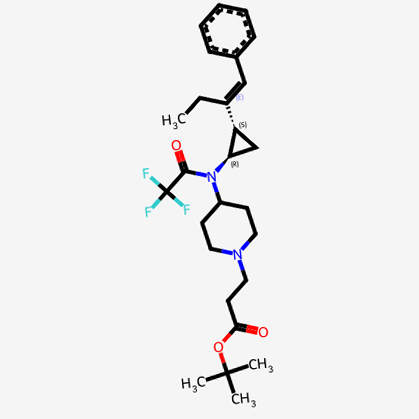 CC/C(=C\c1ccccc1)[C@@H]1C[C@H]1N(C(=O)C(F)(F)F)C1CCN(CCC(=O)OC(C)(C)C)CC1